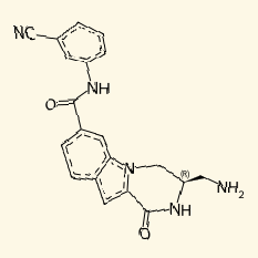 N#Cc1cccc(NC(=O)c2ccc3cc4n(c3c2)C[C@@H](CN)NC4=O)c1